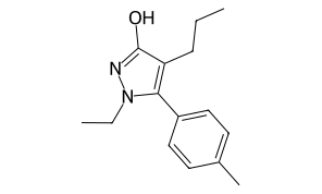 CCCc1c(O)nn(CC)c1-c1ccc(C)cc1